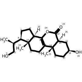 C[C@H](CO)[C@H]1CC[C@H]2C3=C(CC[C@]12C)[C@@]1(C)CC[C@H](O)C[C@@H]1C(=O)O3